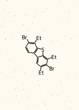 CCc1cc2c(sc3c(CC)c(Br)ccc32)c(CC)c1Br